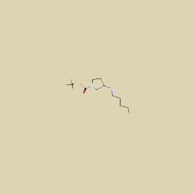 CCCCCNC1CCN(C(=O)OC(C)(C)C)C1